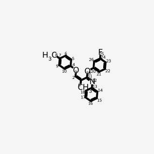 CC(=COc1ccc(C)cc1)C(=Nc1ccccc1)Oc1cccc(F)c1